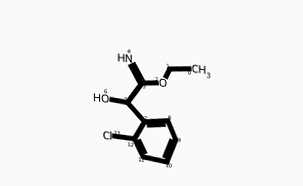 CCOC(=N)C(O)c1ccccc1Cl